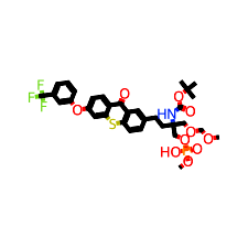 COCOCC(CCc1ccc2sc3cc(Oc4cccc(C(F)(F)F)c4)ccc3c(=O)c2c1)(COP(=O)(O)OC)NC(=O)OC(C)(C)C